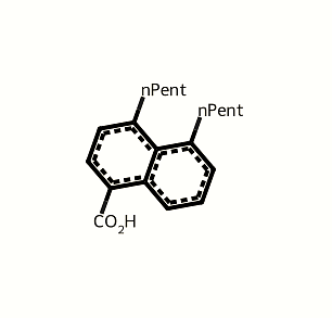 CCCCCc1cccc2c(C(=O)O)ccc(CCCCC)c12